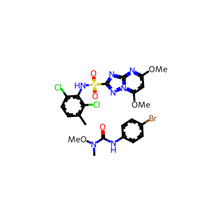 CON(C)C(=O)Nc1ccc(Br)cc1.COc1cc(OC)n2nc(S(=O)(=O)Nc3c(Cl)ccc(C)c3Cl)nc2n1